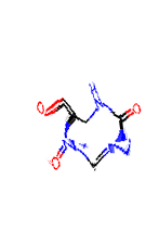 O=C1N=[C][N+](=O)C(=O)N1